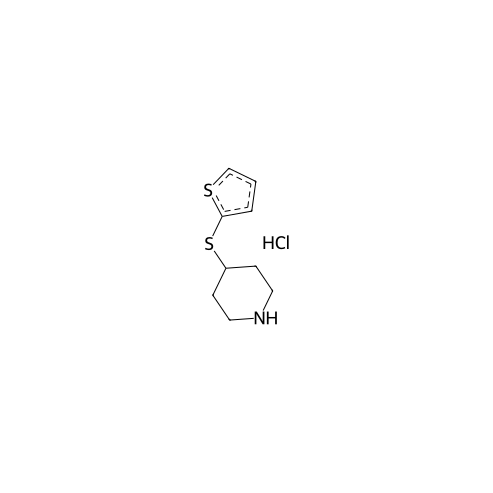 Cl.c1csc(SC2CCNCC2)c1